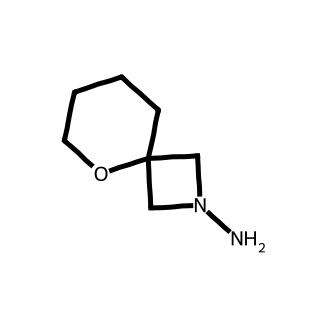 NN1CC2(CCCCO2)C1